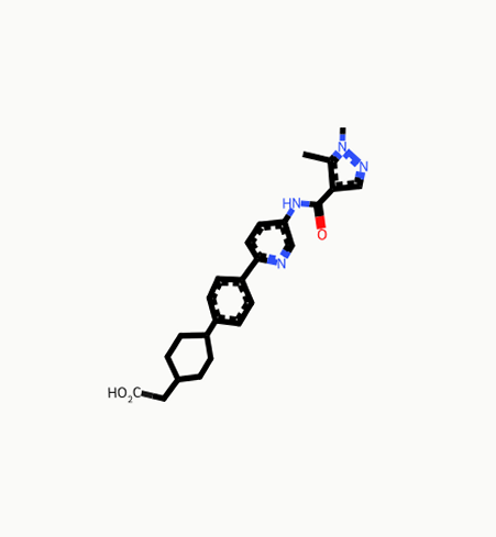 Cc1c(C(=O)Nc2ccc(-c3ccc(C4CCC(CC(=O)O)CC4)cc3)nc2)cnn1C